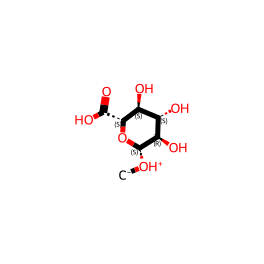 [CH2-][OH+][C@@H]1O[C@H](C(=O)O)[C@@H](O)[C@H](O)[C@H]1O